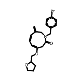 C=C1/C=C\C=C(\OCC2CCCO2)CC(=O)N(Cc2ccc(Br)cc2)C1